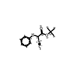 [C-]#[N+]C(Sc1ccccc1)C(=O)OC(C)(C)C